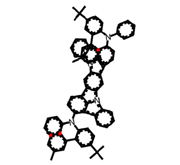 Cc1cc(C)cc(-c2cc(C(C)(C)C)ccc2N(c2ccccc2)c2ccc3c4cc5c(cc4n4c6ccccc6c2c34)c2ccc(N(c3ccccc3)c3ccc(C(C)(C)C)cc3-c3cc(C)cc(C)c3)c3c4ccccc4n5c23)c1